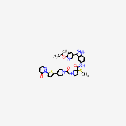 CSC1(C(=O)Nc2ccc3[nH]nc(-c4ccc(OC(C)C)nc4)c3c2)CCN(CC(=O)N2CC=C(c3ccc(-n4ncccc4=O)s3)CC2)C1